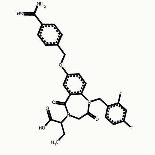 CCC(C(=O)O)N1CC(=O)N(Cc2ccc(F)cc2F)c2ccc(OCc3ccc(C(=N)N)cc3)cc2C1=O